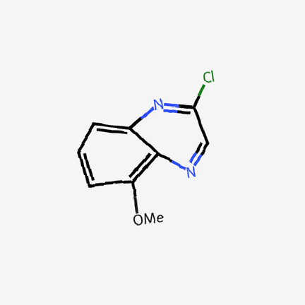 COc1cccc2nc(Cl)cnc12